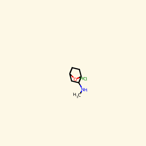 CNC1CC2CCC1O2.Cl